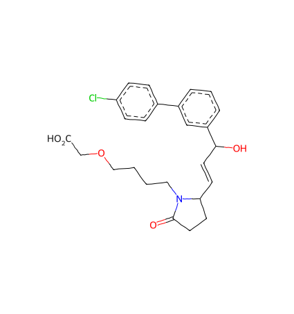 O=C(O)COCCCCN1C(=O)CCC1C=CC(O)c1cccc(-c2ccc(Cl)cc2)c1